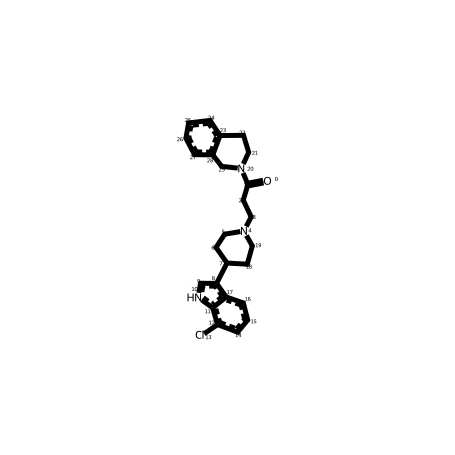 O=C(CCN1CCC(c2c[nH]c3c(Cl)cccc23)CC1)N1CCc2ccccc2C1